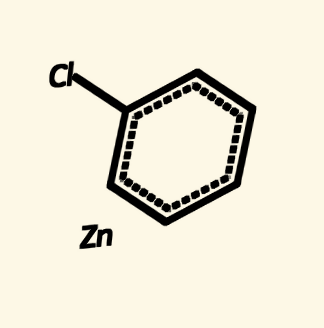 Clc1ccccc1.[Zn]